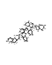 CN1c2c(-c3c4ccccc4c(-c4ccc5c(ccc6ccccc65)c4)c4ccccc34)cccc2-n2c(-c3ccc4ccccc4c3)nc3cccc1c32